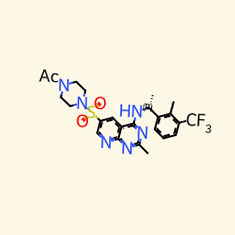 CC(=O)N1CCN(S(=O)(=O)c2cnc3nc(C)nc(N[C@H](C)c4cccc(C(F)(F)F)c4C)c3c2)CC1